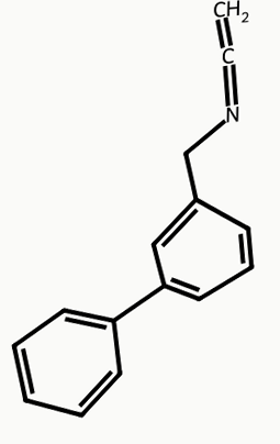 C=C=NCc1cccc(-c2ccccc2)c1